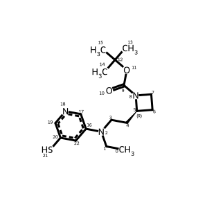 CCN(CC[C@@H]1CCN1C(=O)OC(C)(C)C)c1cncc(S)c1